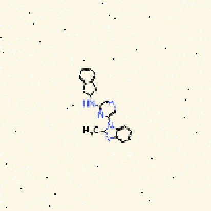 Cc1nc2ccccc2n1-c1cncc(NC2Cc3ccccc3C2)n1